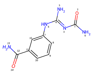 NC(=O)N=C(N)Nc1cccc(C(N)=O)c1